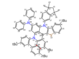 CC(C)(C)c1ccc(-c2cc(C(C)(C)C)ccc2N2c3ccc(C(C)(C)C)cc3B3c4sc5ccc(C(C)(C)C)cc5c4N(c4ccc5c(c4)C(C)(C)CC5(C)C)c4cc(N(c5ccccc5)c5ccccc5)cc2c43)cc1